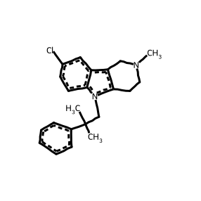 CN1CCc2c(c3cc(Cl)ccc3n2CC(C)(C)c2ccccc2)C1